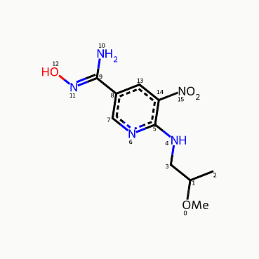 COC(C)CNc1ncc(C(N)=NO)cc1[N+](=O)[O-]